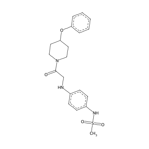 CS(=O)(=O)Nc1ccc(NCC(=O)N2CCC(Oc3ccccc3)CC2)cc1